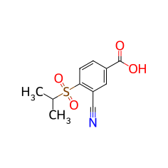 CC(C)S(=O)(=O)c1ccc(C(=O)O)cc1C#N